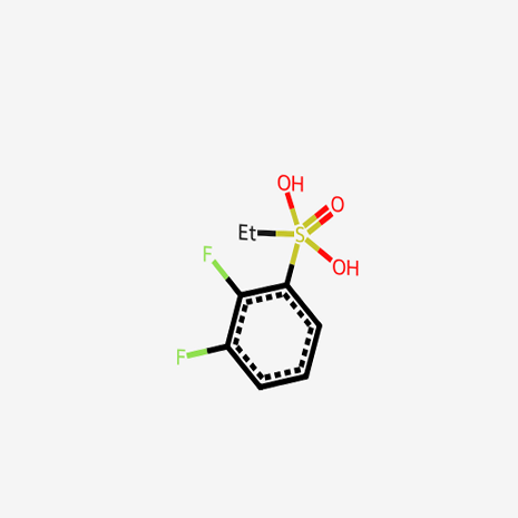 CCS(=O)(O)(O)c1cccc(F)c1F